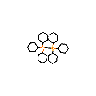 C1CCC([PH]([Ni][PH](C2CCCCC2)(C2CCCCC2)C2CCCCC2)(C2CCCCC2)C2CCCCC2)CC1